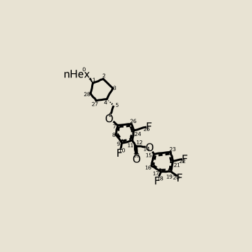 CCCCCC[C@H]1CC[C@H](COc2cc(F)c(C(=O)Oc3cc(F)c(F)c(F)c3)c(F)c2)CC1